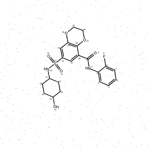 O=C(Nc1ccccc1F)c1cc(S(=O)(=O)NC2CCC(O)CC2)cc2c1OCCO2